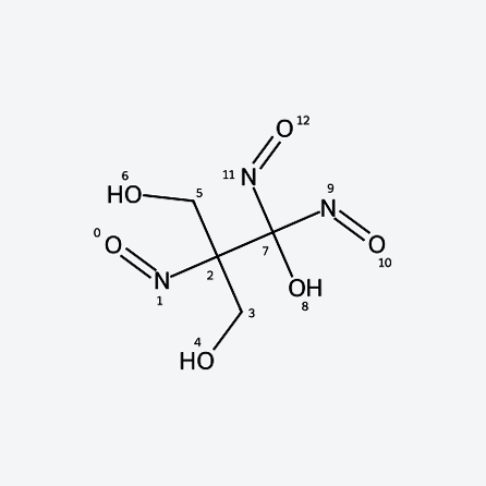 O=NC(CO)(CO)C(O)(N=O)N=O